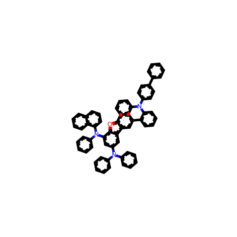 c1ccc(-c2ccc(N(c3ccccc3)c3ccccc3-c3ccc4oc5c(N(c6ccccc6)c6cccc7ccccc67)cc(N(c6ccccc6)c6ccccc6)cc5c4c3)cc2)cc1